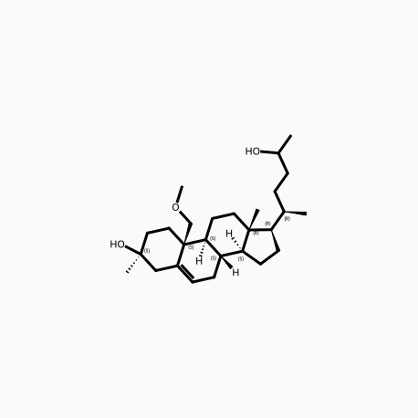 COC[C@]12CC[C@](C)(O)CC1=CC[C@@H]1[C@@H]2CC[C@]2(C)[C@@H]([C@H](C)CCC(C)O)CC[C@@H]12